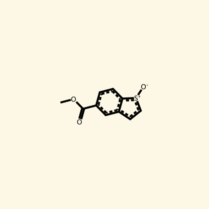 COC(=O)c1ccc2c(cc[s+]2[O-])c1